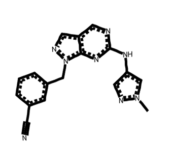 Cn1cc(Nc2ncc3cnn(Cc4cccc(C#N)c4)c3n2)cn1